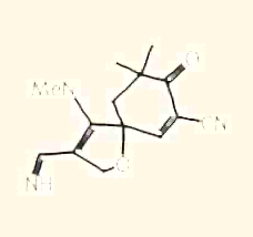 CNC1=C(C=N)COC12C=C(C#N)C(=O)C(C)(C)C2